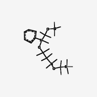 CC(C)(O[Si](C)(c1ccccc1)C(C)(C)O[Si](C)(C)C)C(C)(C)[Si](C)(C)OC(C)(C)[Si](C)(C)C